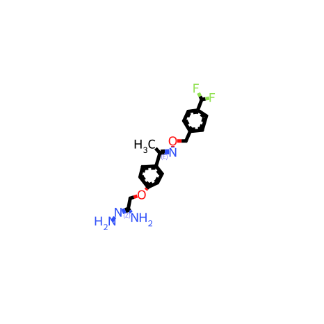 C/C(=N\OCc1ccc(C(F)F)cc1)c1ccc(OC/C(N)=N/N)cc1